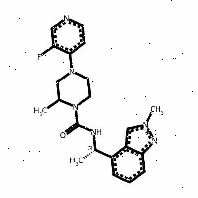 CC1CN(c2ccncc2F)CCN1C(=O)N[C@@H](C)c1cccc2nn(C)cc12